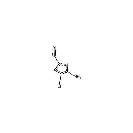 N#Cc1cc(Cl)c(N)s1